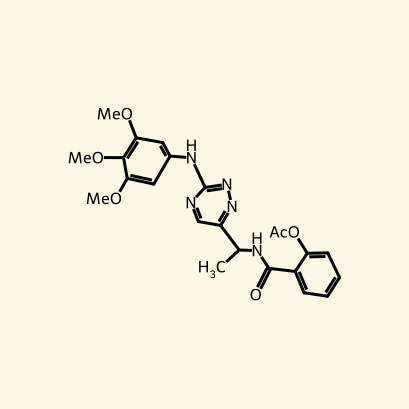 COc1cc(Nc2ncc(C(C)NC(=O)c3ccccc3OC(C)=O)nn2)cc(OC)c1OC